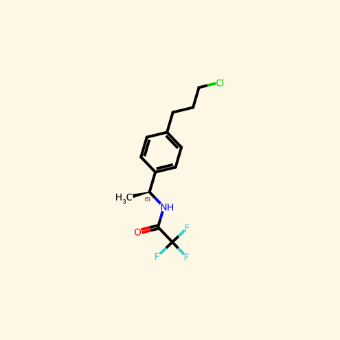 C[C@H](NC(=O)C(F)(F)F)c1ccc(CCCCl)cc1